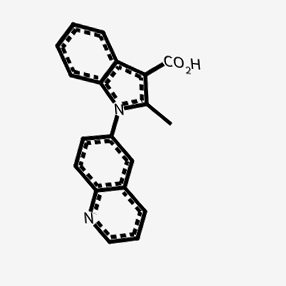 Cc1c(C(=O)O)c2ccccc2n1-c1ccc2ncccc2c1